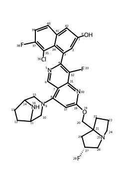 Oc1cc(-c2ncc3c(N4CC5CCC(C4)N5)cc(OCC45CCCN4C[C@H](F)C5)nc3c2F)c2c(Cl)c(F)ccc2c1